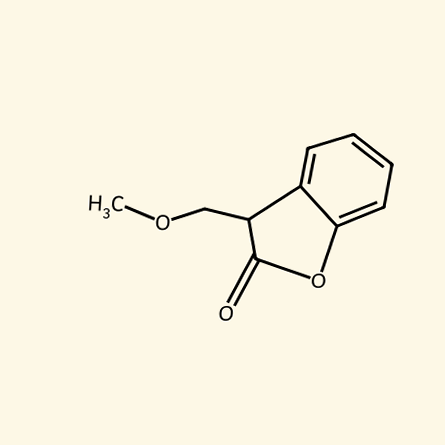 COCC1C(=O)Oc2ccccc21